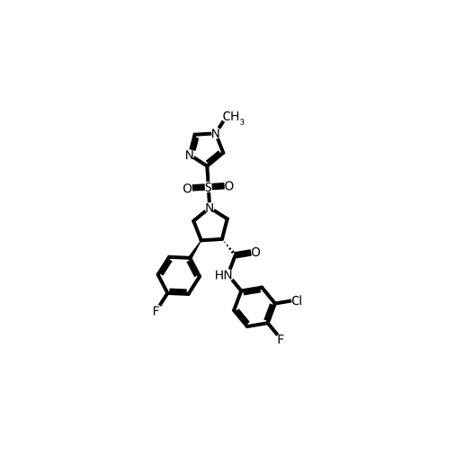 Cn1cnc(S(=O)(=O)N2C[C@H](C(=O)Nc3ccc(F)c(Cl)c3)[C@@H](c3ccc(F)cc3)C2)c1